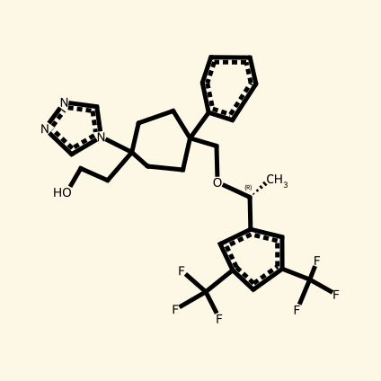 C[C@@H](OCC1(c2ccccc2)CCC(CCO)(n2cnnc2)CC1)c1cc(C(F)(F)F)cc(C(F)(F)F)c1